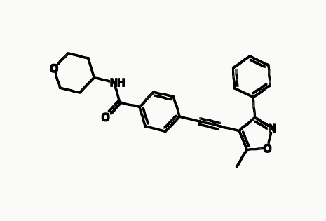 Cc1onc(-c2ccccc2)c1C#Cc1ccc(C(=O)NC2CCOCC2)cc1